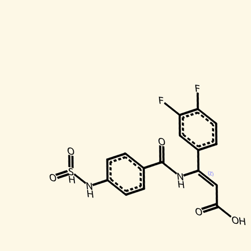 O=C(O)/C=C(\NC(=O)c1ccc(N[SH](=O)=O)cc1)c1ccc(F)c(F)c1